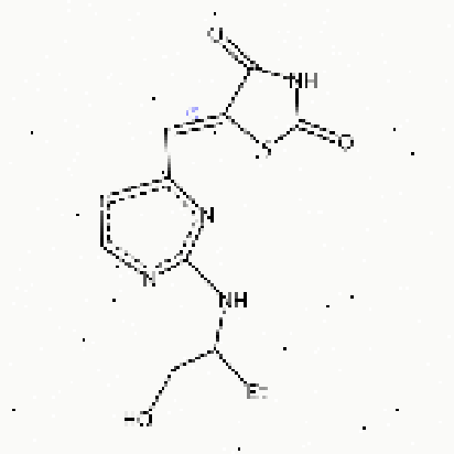 CCC(CO)Nc1nccc(/C=C2\SC(=O)NC2=O)n1